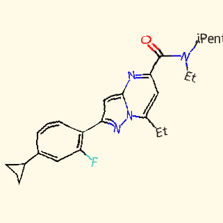 CCCC(C)N(CC)C(=O)c1cc(CC)n2nc(-c3ccc(C4CC4)cc3F)cc2n1